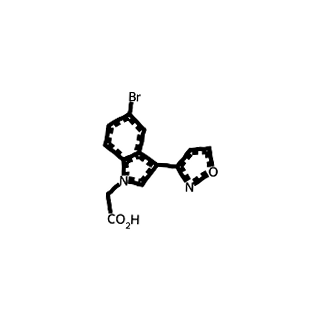 O=C(O)Cn1cc(-c2ccon2)c2cc(Br)ccc21